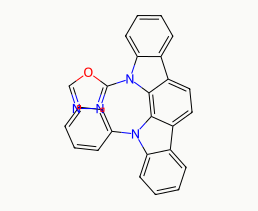 c1ccc(-n2c3ccccc3c3ccc4c5ccccc5n(-c5nnco5)c4c32)cc1